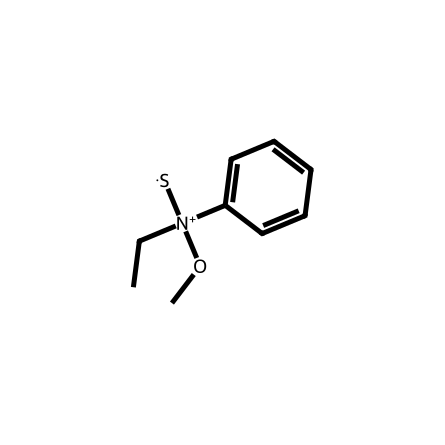 CC[N+]([S])(OC)c1ccccc1